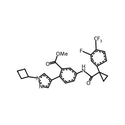 COC(=O)c1cc(NC(=O)C2(c3ccc(C(F)(F)F)c(F)c3)CC2)ccc1-c1cnn(C2CCC2)c1